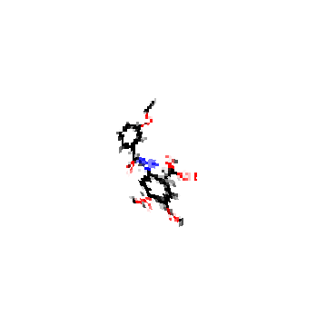 CCOc1cccc(C(=O)Nc2cc(OC)c(OC)cc2C(=O)O)c1